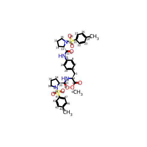 COC(=O)[C@H](Cc1ccc(NC(=O)[C@@H]2CCCN2S(=O)(=O)c2ccc(C)cc2)cc1)NC(=O)[C@@H]1CCCN1S(=O)(=O)c1ccc(C)cc1